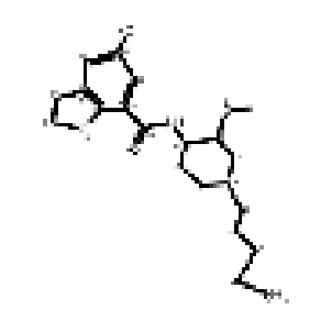 COC1CN(CCCCN)CCC1NC(=O)c1cc(Cl)cc2c1OCC2